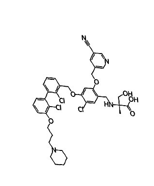 C[C@](CO)(NCc1cc(Cl)c(OCc2cccc(-c3cccc(OCCCN4CCCCC4)c3Cl)c2Cl)cc1OCc1cncc(C#N)c1)C(=O)O